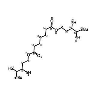 CCCCC(S)C(S)CCOC(=O)CCSCCC(=O)OCCC(S)C(S)CCCC